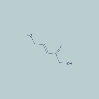 O=C(/C=C/CO)CO